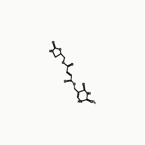 C=C1NC=C(COC(=O)/C=C/C(=O)OCC2CNC(=O)O2)C(=O)N1